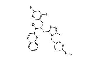 Cc1nnc(CN(Cc2ccc(F)cc2F)C(=O)c2ccc3ccccc3n2)n1Cc1ccc(N)cc1